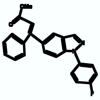 COC(=O)C=C(c1ccccc1)c1ccc2c(cnn2-c2ccc(F)cc2)c1